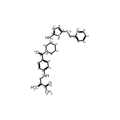 C=C(CNc1ccc(C(=O)N2CCC[C@@H](Nc3ncc(SCc4ccccn4)s3)C2)cc1)C(C)=O